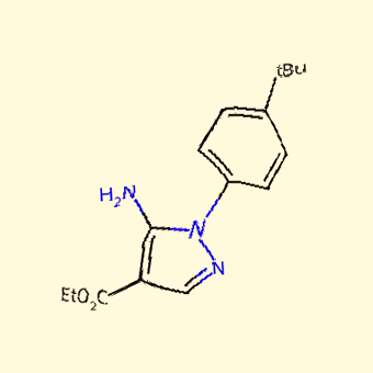 CCOC(=O)c1cnn(-c2ccc(C(C)(C)C)cc2)c1N